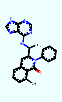 CC(Nc1ncnc2[nH]cnc12)c1cc2cccc(C#N)c2c(=O)n1-c1ccccc1